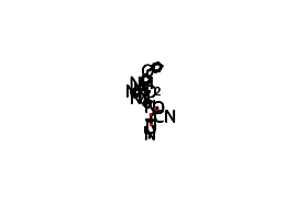 CN1CCN(C(C)(C)C=C(C#N)C(=O)N2CC[C@H](n3c(=O)n(-c4ccc(Oc5ccccc5)cc4)c4c(N)ncnc43)C2)CC1